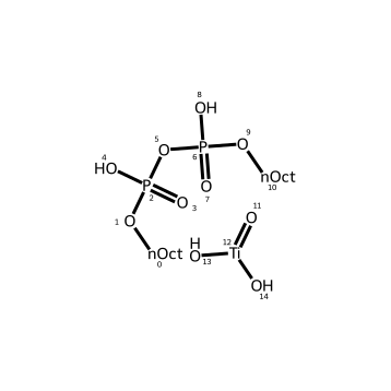 CCCCCCCCOP(=O)(O)OP(=O)(O)OCCCCCCCC.[O]=[Ti]([OH])[OH]